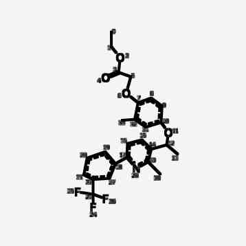 CCOC(=O)COc1ccc(OC(C)c2ccc(-c3cccc(C(F)(F)F)c3)nc2C)cc1C